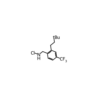 CC(C)(C)CCc1cc(C(F)(F)F)ccc1CNCl